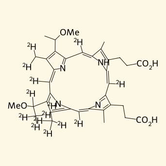 [2H]c1c2nc(c([2H])c3c(C([2H])(OC)C([2H])([2H])[2H])c(C([2H])([2H])[2H])c(c([2H])c4nc(c([2H])c5[nH]c1c(C)c5CCC(=O)O)C(CCC(=O)O)=C4C)n3[2H])C(C([2H])[2H])=C2C(C)OC